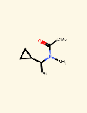 COC(=O)N(C)C(C1CC1)C(C)(C)C